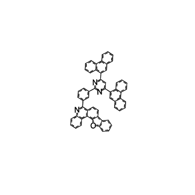 c1cc(-c2nc(-c3cc4ccccc4c4ccccc34)cc(-c3cc4ccccc4c4ccccc34)n2)cc(-c2nc3ccccc3c3c2ccc2c4ccccc4oc23)c1